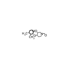 Cc1cccc(OC2CCN(C=O)CC2O)c1C